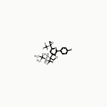 CC(C)(C)[S@@+]([O-])N[C@@]1(C(F)(F)F)COc2c1cc([C@]1(C(F)(F)F)CO1)nc2-c1ccc(F)cc1